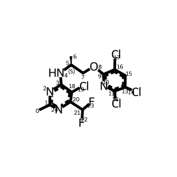 Cc1nc(N[C@@H](C)COc2nc(Cl)c(Cl)cc2Cl)c(Cl)c(C(F)F)n1